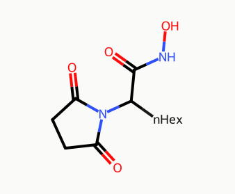 CCCCCCC(C(=O)NO)N1C(=O)CCC1=O